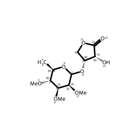 CO[C@H]1[C@H](OC)[C@@H](C)OC(O[C@@H]2COC(=O)[C@@H]2O)[C@H]1OC